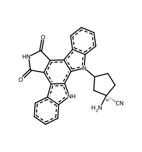 N#C[C@@]1(N)CCC(n2c3ccccc3c3c4c(c5c6ccccc6[nH]c5c32)C(=O)NC4=O)C1